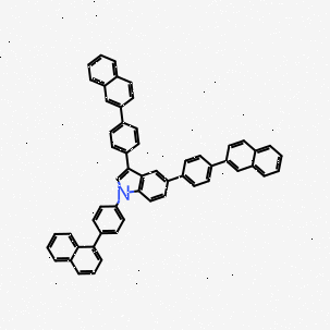 c1ccc2cc(-c3ccc(-c4ccc5c(c4)c(-c4ccc(-c6ccc7ccccc7c6)cc4)cn5-c4ccc(-c5cccc6ccccc56)cc4)cc3)ccc2c1